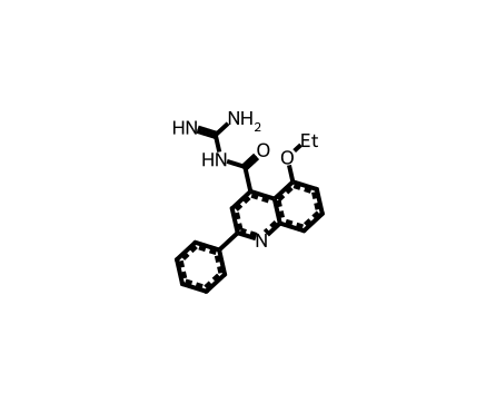 CCOc1cccc2nc(-c3ccccc3)cc(C(=O)NC(=N)N)c12